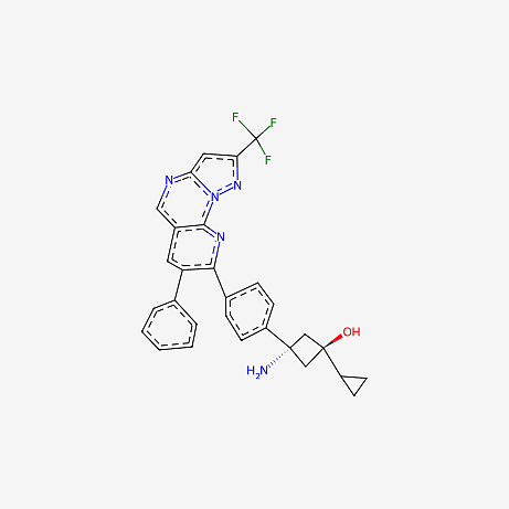 N[C@]1(c2ccc(-c3nc4c(cnc5cc(C(F)(F)F)nn54)cc3-c3ccccc3)cc2)C[C@](O)(C2CC2)C1